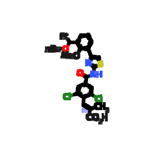 CCCCOC(CC)c1cccc(-c2csc(NC(=O)c3cc(Cl)c(/C=C(\C)C(=O)O)c(Cl)c3)n2)c1OC